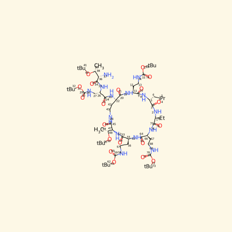 CC[C@@H]1NC(=O)[C@@H](CC(C)C)NC(=O)[C@H](CCNC(=O)OC(C)(C)C)NC(=O)[C@@H](NC(=O)[C@H](CNC(=O)OC(C)(C)C)NC(=O)[C@@H](N)[C@@H](C)OC(C)(C)C)CCNC(=O)[C@H]([C@@H](C)OC(C)(C)C)NC(=O)[C@H](CCNC(=O)OC(C)(C)C)NC(=O)[C@H](CCNC(=O)OC(C)(C)C)NC1=O